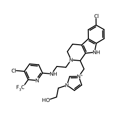 OCCn1cc[n+](CC2c3[nH]c4ccc(Cl)cc4c3CCN2CCNc2ccc(Cl)c(C(F)(F)F)n2)c1